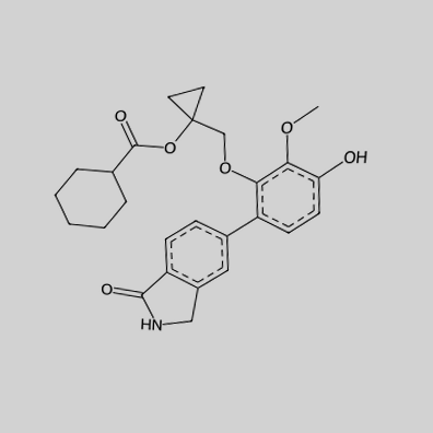 COc1c(O)ccc(-c2ccc3c(c2)CNC3=O)c1OCC1(OC(=O)C2CCCCC2)CC1